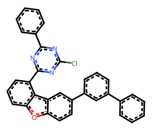 Clc1nc(-c2ccccc2)nc(-c2cccc3oc4ccc(-c5cccc(-c6ccccc6)c5)cc4c23)n1